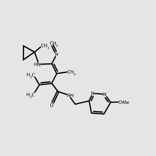 C=N/C(NC1(C)CC1)=C(\C)C(C(=O)NCc1ccc(OC)nn1)=C(C)C